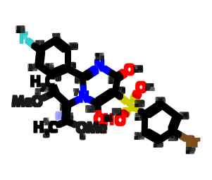 C=C(OC)/C(=C(\C)OC)n1c(-c2ccc(F)cc2)nc(=O)c(S(=O)(=O)c2ccc(Br)cc2)c1O